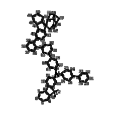 CC1(C)c2ccccc2-c2ccc(N(c3ccc(-c4ccccc4)cc3)c3ccc(-c4cccc(-c5ccccc5-c5ccc6c(c5)-c5ccccc5C65C6CC7CC(C6)CC5C7)c4)cc3)cc21